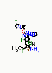 C=C/C(F)=c1/sc(N)c(C#N)/c1=C\c1c(Cl)cc2c(N3CC4CCC(C3)N4)nc(OCC3(CN4CC[C@@H](F)C4)CC3)nc2c1F